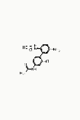 CC(=O)Nc1ccc(-c2cc(N)ccc2N)c(Cl)c1.Cl.Cl